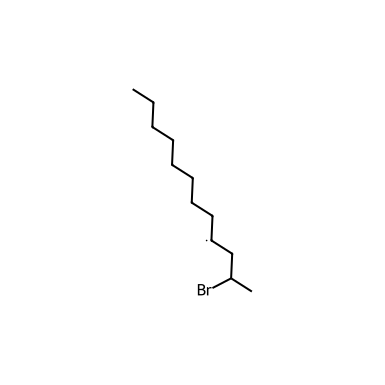 CCCCCCCC[CH]CC(C)Br